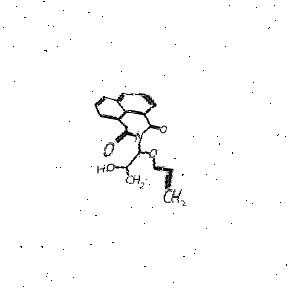 [CH2]C(O)C(OCC=C)N1C(=O)c2cccc3cccc(c23)C1=O